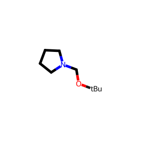 CC(C)(C)OCN1CCCC1